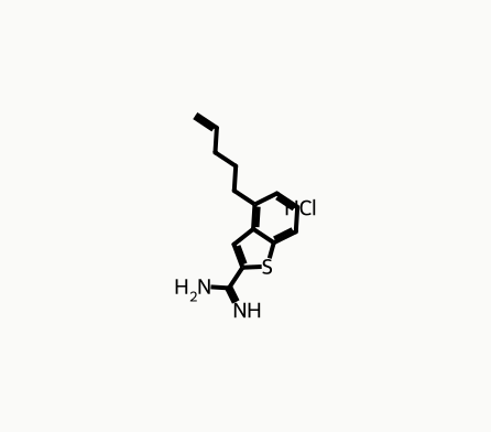 C=CCCCc1cccc2sc(C(=N)N)cc12.Cl